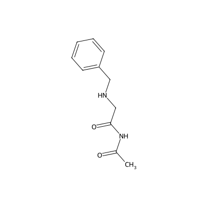 CC(=O)NC(=O)CNCc1ccccc1